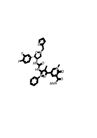 CNC(=O)c1cc(-c2nn(-c3ccccc3)c(NC(=O)N[C@@H]3CN(Cc4ccco4)O[C@H]3c3ccc(F)c(F)c3)c2C)cn(C)c1=O